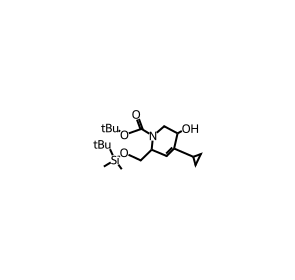 CC(C)(C)OC(=O)N1CC(O)C(C2CC2)=CC1CO[Si](C)(C)C(C)(C)C